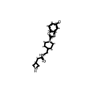 O=C(CC1CNC1)NCC1CCN(c2nc3cc(Cl)ccc3o2)CC1